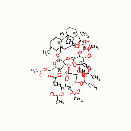 C=C1CC[C@@H]2[C@](CO[C@@H]3OC(COC(C)=O)[C@@H](OC(C)=O)C(O[C@@H]4OC(COC(C)=O)[C@@H](OC(C)=O)C(OC(C)=O)C4OC(C)=O)C3O[C@@H]3OC(C)[C@H](OC(C)=O)C(OC(C)=O)C3OC(C)=O)(CCC3[C@](C)(C(=O)O)CCC[C@]32C)C1